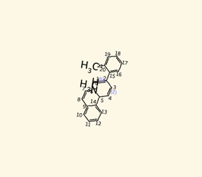 C/C=C(\C=C/C1NC=Cc2ccccc21)c1ccccc1C